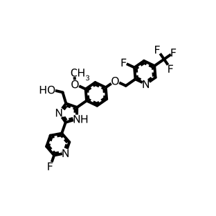 COc1cc(OCc2ncc(C(F)(F)F)cc2F)ccc1-c1[nH]c(-c2ccc(F)nc2)nc1CO